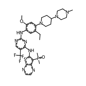 CCc1cc(Nc2ncc(C(F)(F)F)c(Nc3sc4nccnc4c3P(C)(C)=O)n2)c(OC)cc1N1CCC(N2CCN(C)CC2)CC1